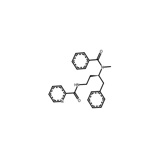 CN(C(=O)c1ccccc1)[C@H](CCNC(=O)c1ccccn1)Cc1ccccc1